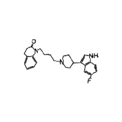 O=C1CCc2ccccc2N1CCCCN1CCC(c2c[nH]c3ccc(F)cc23)CC1